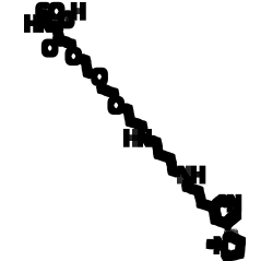 CN1CCC[C@H]1c1cncc(CCCNCCCCNCCCOCCOCCOCC(=O)C(=O)NC(=O)O)c1